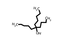 CCCCCC(O)(CCCC)CCCCC